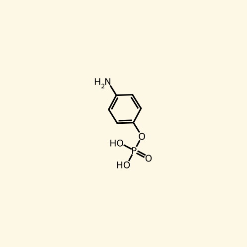 Nc1ccc(OP(=O)(O)O)cc1